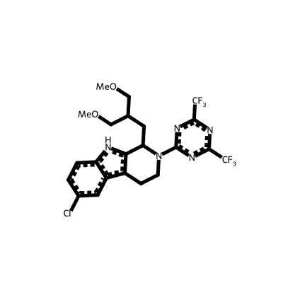 COCC(COC)CC1c2[nH]c3ccc(Cl)cc3c2CCN1c1nc(C(F)(F)F)nc(C(F)(F)F)n1